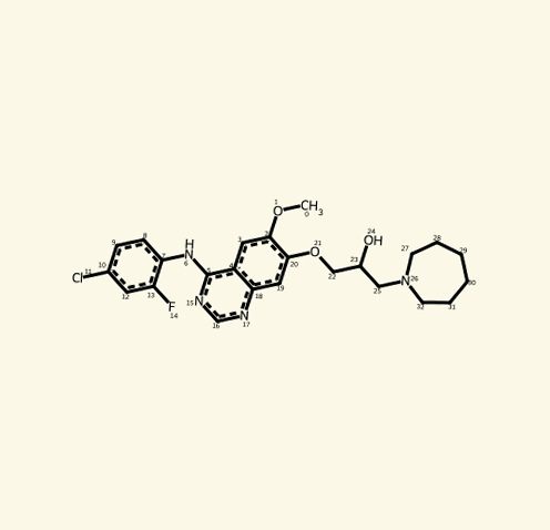 COc1cc2c(Nc3ccc(Cl)cc3F)ncnc2cc1OCC(O)CN1CCCCCC1